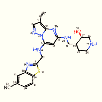 CC(C)c1cnn2c(NCc3nc4cc(C#N)ccc4s3)cc(NC[C@H]3CCNC[C@@H]3O)nc12